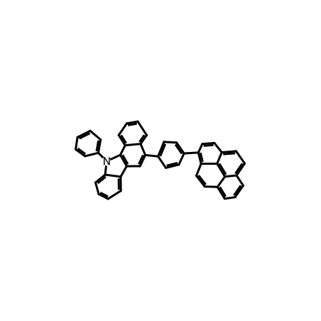 c1ccc(-n2c3ccccc3c3cc(-c4ccc(-c5ccc6ccc7cccc8ccc5c6c78)cc4)c4ccccc4c32)cc1